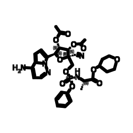 CC(=O)O[C@H]1[C@H](c2ccc3c(N)ccnn23)O[C@](C#N)(CO[P@@](=O)(N[C@@H](C)C(=O)OC2CCOCC2)Oc2ccccc2)[C@H]1OC(C)=O